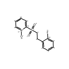 O=S(=O)(CCc1ccccc1F)c1cccc[n+]1[O-]